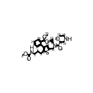 COC(=O)NCCCc1sc(CN(C(=O)[C@H]2CNCCO2)C2CC2)cc1-c1ccccc1C(=O)OC